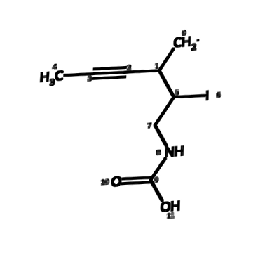 [CH2]C(C#CC)C(I)CNC(=O)O